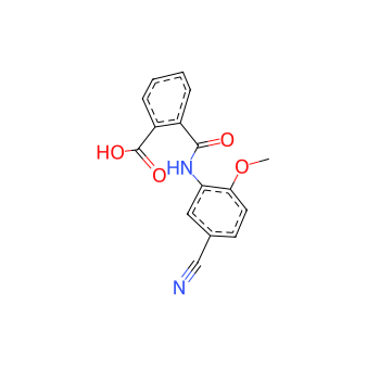 COc1ccc(C#N)cc1NC(=O)c1ccccc1C(=O)O